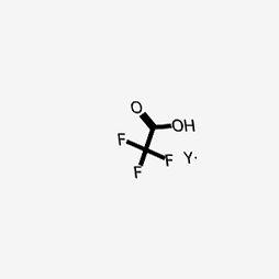 O=C(O)C(F)(F)F.[Y]